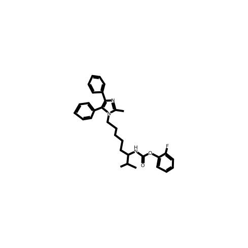 Cc1nc(-c2ccccc2)c(-c2ccccc2)n1CCCCCC(NC(=O)Oc1ccccc1F)C(C)C